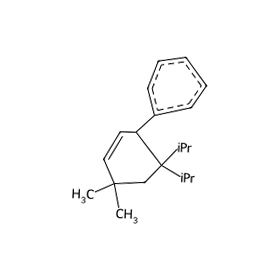 CC(C)C1(C(C)C)CC(C)(C)C=CC1c1ccccc1